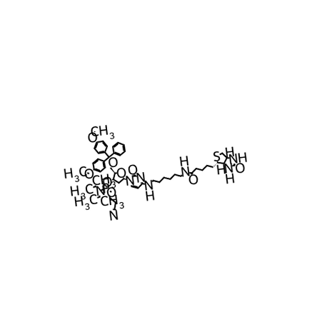 COc1ccc(C(OC[C@H]2O[C@@H](n3ccc(NCCCCCCNC(=O)CCCC[C@@H]4SC[C@@H]5NC(=O)N[C@@H]54)nc3=O)C[C@@H]2OP(OCCC#N)N(C(C)C)C(C)C)(c2ccccc2)c2ccc(OC)cc2)cc1